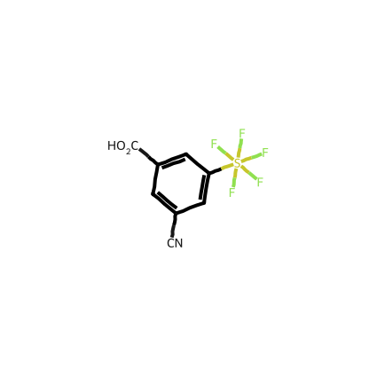 N#Cc1cc(C(=O)O)cc(S(F)(F)(F)(F)F)c1